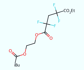 CCOC(=O)C(F)(F)CC(F)(F)C(=O)OCCOC(=O)C(C)CC